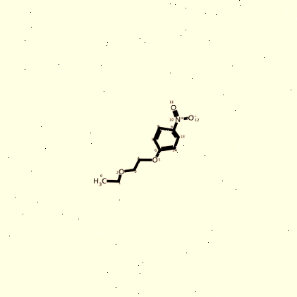 CCOCCOc1ccc([N+](=O)[O-])cc1